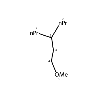 CCCC(CCC)CCOC